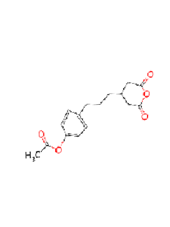 CC(=O)Oc1ccc(CCCC2CC(=O)OC(=O)C2)cc1